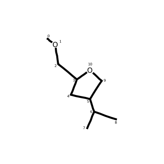 COCC1CC(C(C)C)CO1